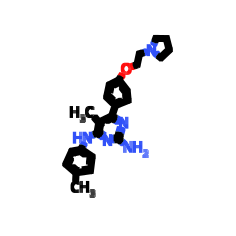 Cc1ccc(Nc2nc(N)nc(-c3ccc(OCCN4CCCC4)cc3)c2C)cc1